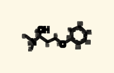 CN(C)C(O)CCOc1ccccc1